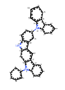 c1ccc(-n2c3ccccc3c3cc4c(cc32)[nH]c2ccc(-n3c5ccccc5c5ccccc53)cc24)cc1